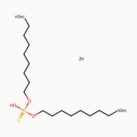 CCCCCCCCCCCCCCCCCCOP(O)(=S)OCCCCCCCCCCCCCCCCCC.[Zn]